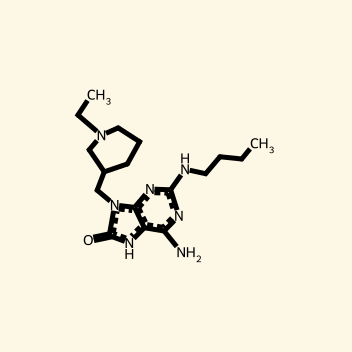 CCCCNc1nc(N)c2[nH]c(=O)n(CC3CCCN(CC)C3)c2n1